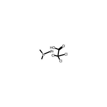 CC(C)N(C)C.O=C(O)C(Cl)(Cl)Cl